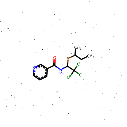 CCC(C)SC(NC(=O)c1cccnc1)C(Cl)(Cl)Cl